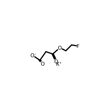 O=C([O-])CC(=O)OCCF.[K+]